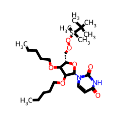 CCCCCOC1C(OCCCCC)[C@@H](n2ccc(=O)[nH]c2=O)O[C@H]1COO[Si](C)(C)C(C)(C)C